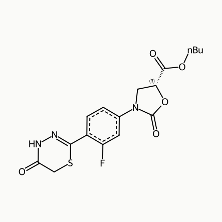 CCCCOC(=O)[C@H]1CN(c2ccc(C3=NNC(=O)CS3)c(F)c2)C(=O)O1